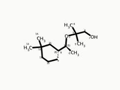 C[C@H](OC(C)(C)CO)[C@@H]1CCCC(C)(C)C1